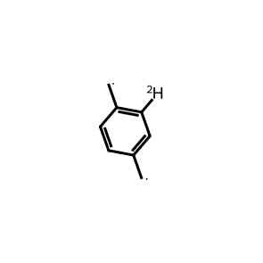 [2H]c1cc([CH2])ccc1[CH2]